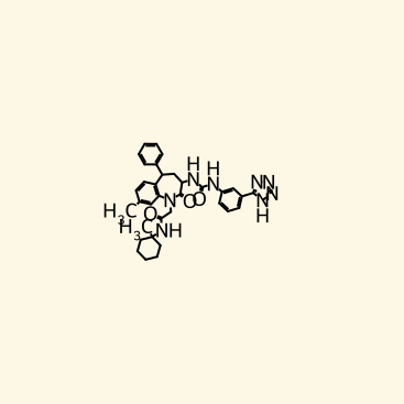 Cc1ccc2c(c1)N(CC(=O)NC1(C)CCCCC1)C(=O)C(NC(=O)Nc1cccc(-c3nnn[nH]3)c1)CC2c1ccccc1